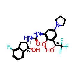 COc1c(NC(=O)N[C@@H]2Cc3c(F)cccc3[C@@H]2O)cc(N2CCCC2)cc1[C@@H](O)C(F)(F)F